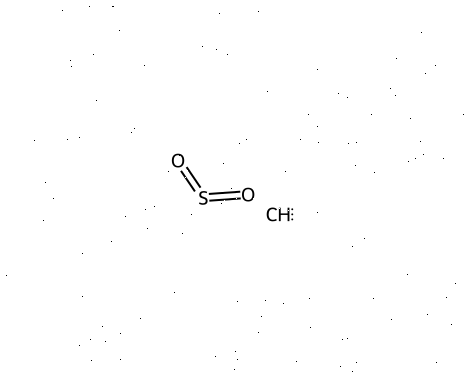 O=S=O.[CH]